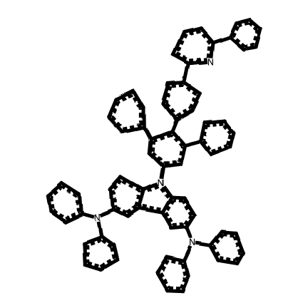 c1ccc(-c2cccc(-c3ccc(-c4c(-c5ccccc5)cc(-n5c6ccc(N(c7ccccc7)c7ccccc7)cc6c6cc(N(c7ccccc7)c7ccccc7)ccc65)cc4-c4ccccc4)cc3)n2)cc1